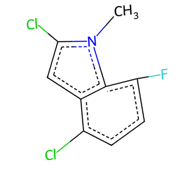 Cn1c(Cl)cc2c(Cl)ccc(F)c21